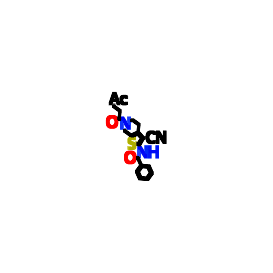 CC(=O)CCC(=O)N1CCc2c(sc(NC(=O)c3ccccc3)c2C#N)C1